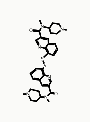 CN1CCC(N(C)C(=O)c2cnc3c(SSc4cccc5cc(C(=O)N(C)C6CCN(C)CC6)cnc45)cccc3c2)CC1